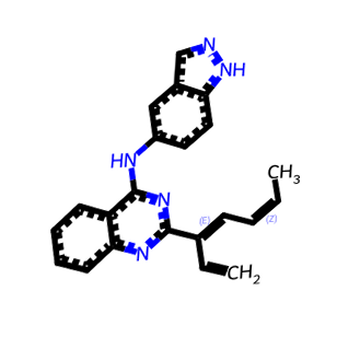 C=C/C(=C\C=C/C)c1nc(Nc2ccc3[nH]ncc3c2)c2ccccc2n1